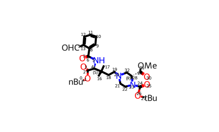 CCCCOC(=O)[C@@H](NC(=O)c1ccccc1C=O)C(C)(C)CCN1CCN(C(=O)OC(C)(C)C)[C@@H](C(=O)OC)C1